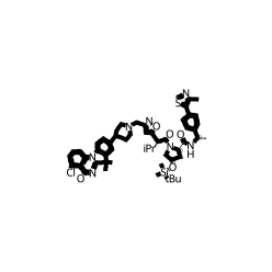 Cc1ncsc1-c1ccc([C@H](C)NC(=O)[C@@H]2C[C@@H](O[Si](C)(C)C(C)(C)C)CN2C(=O)[C@@H](c2cc(CN3CCC(c4ccc5c(c4)C(C)(C)c4nc(=O)c6c(Cl)cccc6n4-5)CC3)no2)C(C)C)cc1